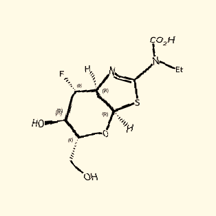 CCN(C(=O)O)C1=N[C@@H]2[C@@H](F)[C@H](O)[C@@H](CO)O[C@@H]2S1